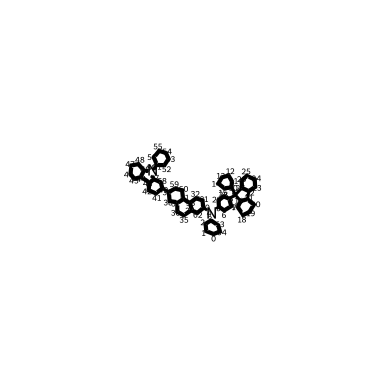 c1ccc(N(c2ccc(C3(c4ccccc4)c4ccccc4-c4ccccc43)cc2)c2ccc3c(ccc4cc(-c5ccc6c7ccccc7n(-c7ccccc7)c6c5)ccc43)c2)cc1